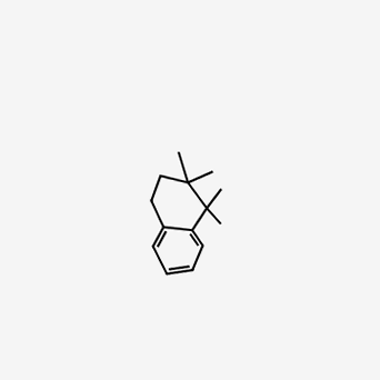 CC1(C)CCc2ccccc2C1(C)C